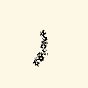 Cc1noc(-c2ccc(S(=O)(=O)N3CCN(C[C@H](C)Nc4ncnc5c(C(=O)N6CCCC6(C)C)cccc45)CC3)s2)c1C